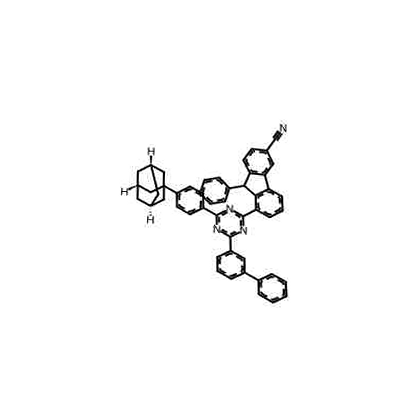 N#Cc1ccc2c(c1)-c1cccc(-c3nc(-c4ccc(C56C[C@H]7C[C@H](C5)C[C@@H](C6)C7)cc4)nc(-c4cccc(-c5ccccc5)c4)n3)c1C2c1ccccc1